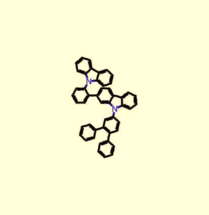 c1ccc(-c2ccc(-n3c4ccccc4c4ccc(-c5ccccc5-n5c6ccccc6c6ccccc65)cc43)cc2-c2ccccc2)cc1